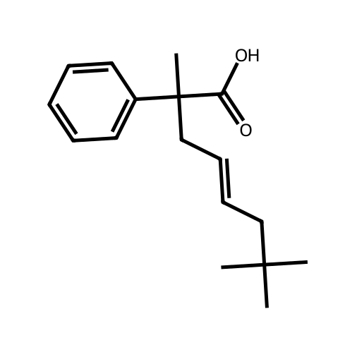 CC(C)(C)CC=CCC(C)(C(=O)O)c1ccccc1